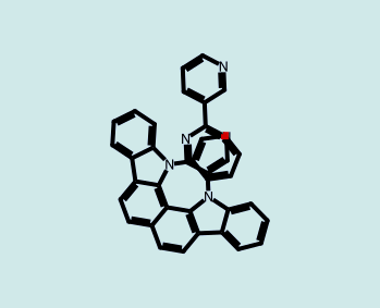 c1ccc(-n2c3ccccc3c3ccc4ccc5c6ccccc6n(-c6cnc(-c7cccnc7)nc6)c5c4c32)cc1